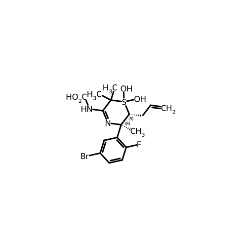 C=CC[C@@H]1[C@@](C)(c2cc(Br)ccc2F)N=C(NC(=O)O)C(C)(C)S1(O)O